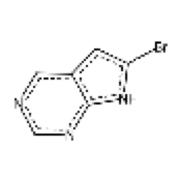 Brc1cc2cncnc2[nH]1